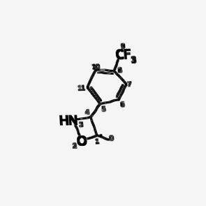 C[C]1ONC1c1ccc(C(F)(F)F)cc1